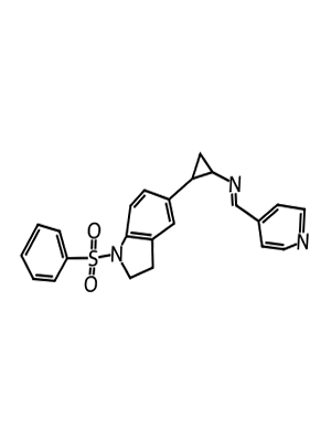 O=S(=O)(c1ccccc1)N1CCc2cc(C3CC3N=Cc3ccncc3)ccc21